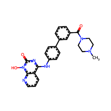 CN1CCN(C(=O)c2cccc(-c3ccc(Nc4nc(=O)n(O)c5ncccc45)cc3)c2)CC1